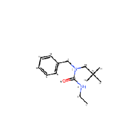 CCNC(=O)N(Cc1ccccc1)CC(C)(C)C